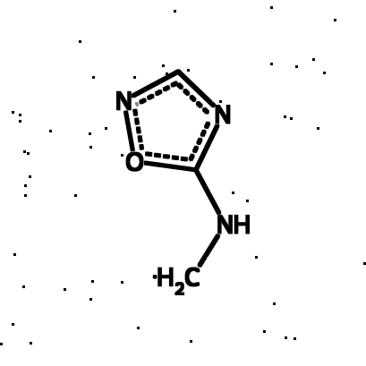 [CH2]Nc1ncno1